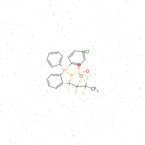 Cl.O=S(=O)([O-])P(C(F)(F)C(F)(F)C(F)(F)C(F)(F)F)[P+](c1ccccc1)(c1ccccc1)c1ccccc1